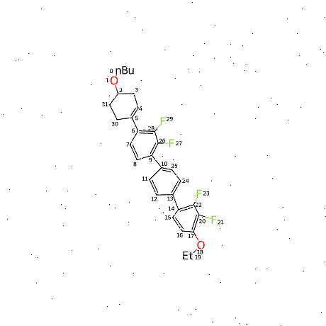 CCCCOC1CC=C(c2ccc(-c3ccc(-c4ccc(OCC)c(F)c4F)cc3)c(F)c2F)CC1